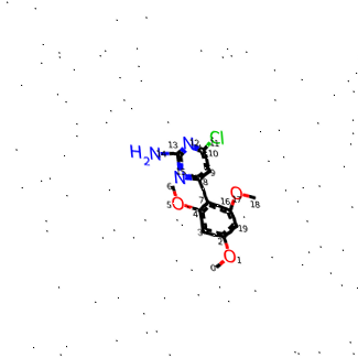 COc1cc(OC)c(-c2cc(Cl)nc(N)n2)c(OC)c1